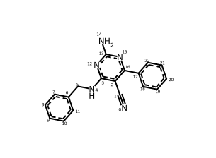 N#Cc1c(NCc2ccccc2)nc(N)nc1-c1ccccc1